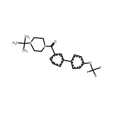 CC(C)(C)N1CCN(C(=O)c2cccc(-c3ccc(OC(F)(F)F)cc3)c2)CC1